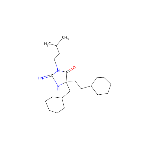 CC(C)CCN1C(=N)N[C@](CCC2CCCCC2)(CC2CCCCC2)C1=O